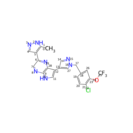 Cc1[nH]ncc1-c1cnc2[nH]cc(-c3cnn(Cc4ccc(Cl)c(OC(F)(F)F)c4)c3)c2n1